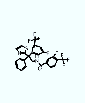 O=C(NCC(c1ccccc1)(c1cc(F)cc(C(F)(F)F)c1)c1nccs1)c1ccc(C(F)(F)F)c(F)c1